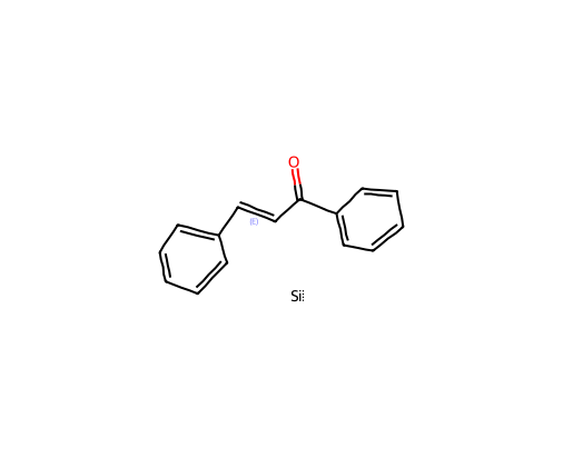 O=C(/C=C/c1ccccc1)c1ccccc1.[Si]